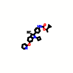 CC(OC(=O)Nc1ccc(-c2c(C#N)c3ccc(Oc4ccccn4)cc3n2C2CCC2)cc1)C1CC1